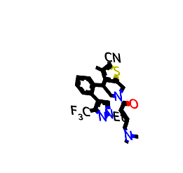 CCn1cc(-c2ccccc2C2CN(C(=O)/C=C/CN(C)C)Cc3sc(C#N)c(C)c32)c(C(F)(F)F)n1